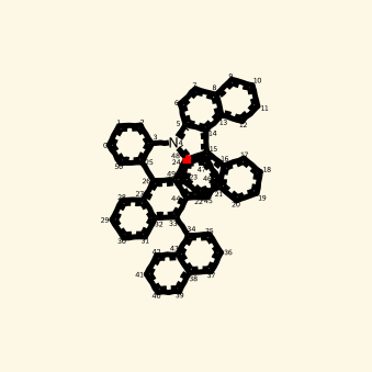 c1ccc(-n2c3ccc4ccccc4c3c3c4ccccc4ccc32)c(-c2c3ccccc3c(-c3cccc4ccccc34)c3ccccc23)c1